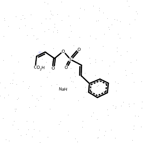 O=C(O)/C=C\C(=O)OS(=O)(=O)C=Cc1ccccc1.[NaH]